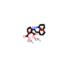 COC(=O)C1=C(C(=O)OC)C2(C(Cc3ccccc3Cl)Nc3ccccc3)C=CC1O2